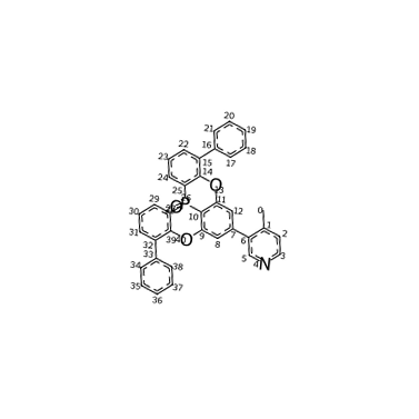 Cc1ccncc1-c1cc2c3c(c1)Oc1c(-c4ccccc4)cccc1P3(=O)c1cccc(-c3ccccc3)c1O2